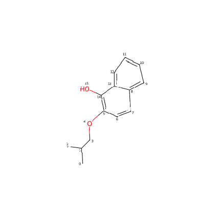 CC(C)COc1ccc2ccccc2c1O